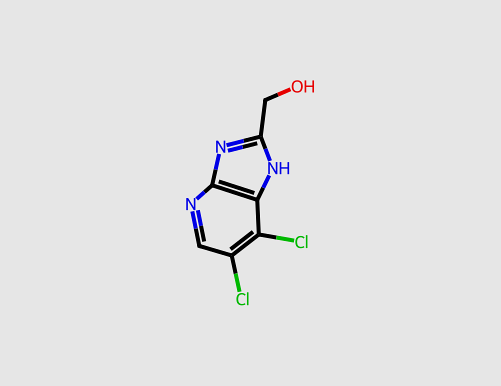 OCc1nc2ncc(Cl)c(Cl)c2[nH]1